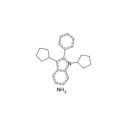 N.c1ccc(-c2c(C3CCCC3)c3ccccc3n2C2CCCC2)cc1